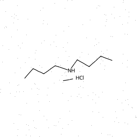 CC.CCCCNCCCC.Cl